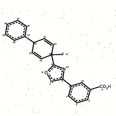 O=C(O)c1cccc(-c2noc(C3(F)C=CC(c4ccccc4)C=C3)n2)c1